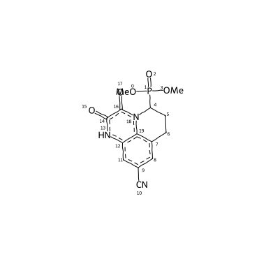 COP(=O)(OC)C1CCc2cc(C#N)cc3[nH]c(=O)c(=O)n1c23